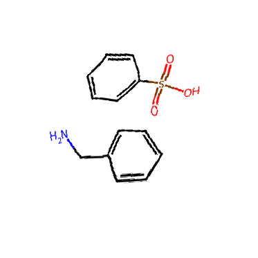 NCc1ccccc1.O=S(=O)(O)c1ccccc1